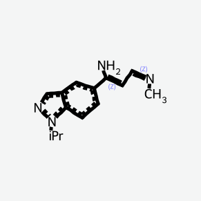 C/N=C\C=C(/N)c1ccc2c(cnn2C(C)C)c1